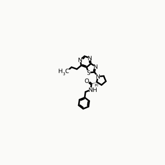 CCCc1ncnc2nc(N3CCC[C@@H]3C(=O)NCc3ccccc3)sc12